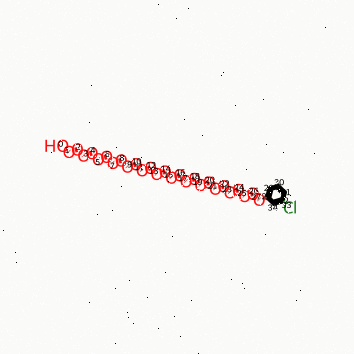 OOOOOOOOOOOOOOOOOOOOOOOOOOOOc1cccc(Cl)c1